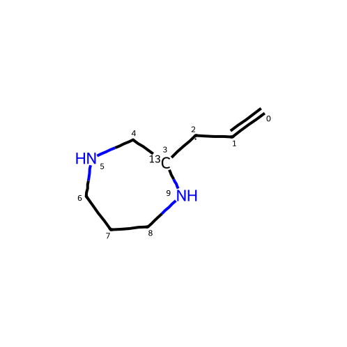 C=C[CH][13CH]1CNCCCN1